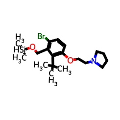 C[SiH](C)OCc1c(Br)ccc(OCCN2CCCC2)c1C(C)(C)C